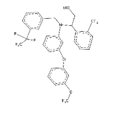 OCC(c1ccccc1C(F)(F)F)N(Cc1cccc(C(F)(F)C(F)(F)F)c1)c1cccc(Oc2cccc(OC(F)(F)F)c2)c1